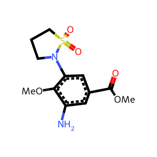 COC(=O)c1cc(N)c(OC)c(N2CCCS2(=O)=O)c1